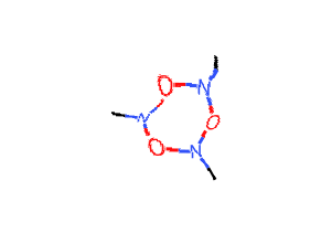 CN1ON(C)ON(C)O1